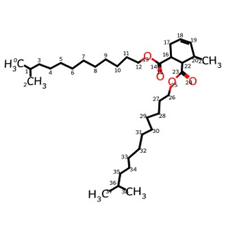 CC(C)CCCCCCCCCCOC(=O)C1CC=CC(C)C1C(=O)OCCCCCCCCCCC(C)C